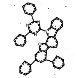 c1ccc(-c2cc(-c3ccccc3)c3c(c2)oc2c3ccc3c4ccccc4n(-c4nc(-c5ccccc5)nc(-c5ccccc5)n4)c32)cc1